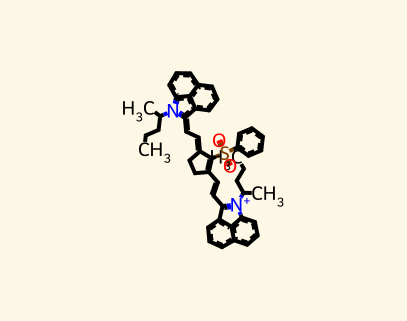 CCCC(C)n1/c(=C/C=C2\CCC(/C=C/C3=[N+](C(C)CCC)c4cccc5cccc3c45)=C2S(=O)(=O)c2ccccc2)c2cccc3cccc1c32